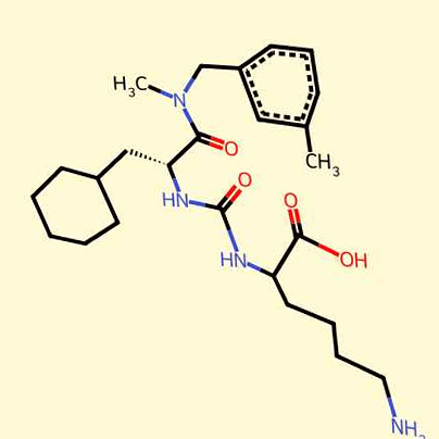 Cc1cccc(CN(C)C(=O)[C@@H](CC2CCCCC2)NC(=O)NC(CCCCN)C(=O)O)c1